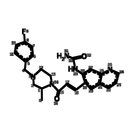 CC1CN(Cc2ccc(F)cc2)CCN1C(=O)C=Cc1cc2cccnc2cc1NC(N)=O